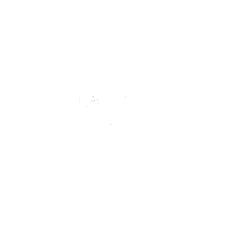 C#CC1([AsH2])CCCCC1